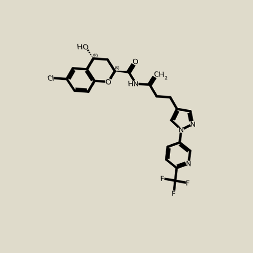 C=C(CCc1cnn(-c2ccc(C(F)(F)F)nc2)c1)NC(=O)[C@@H]1C[C@@H](O)c2cc(Cl)ccc2O1